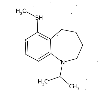 CBc1cccc2c1CCCCN2C(C)C